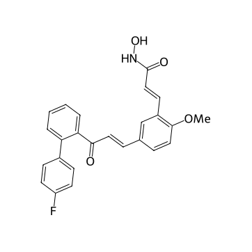 COc1ccc(/C=C/C(=O)c2ccccc2-c2ccc(F)cc2)cc1/C=C/C(=O)NO